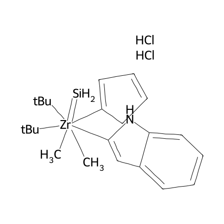 C[C](C)(C)[Zr]([CH3])([CH3])(=[SiH2])([C]1=CC=CC1)([c]1cc2ccccc2[nH]1)[C](C)(C)C.Cl.Cl